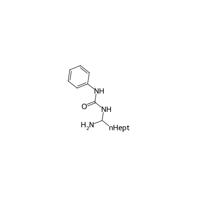 CCCCCCCC(N)NC(=O)Nc1ccccc1